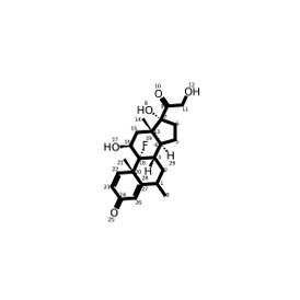 CC1C[C@H]2[C@@H]3CC[C@](O)(C(=O)CO)[C@@]3(C)C[C@H](O)[C@]2(F)[C@@]2(C)C=CC(=O)C=C12